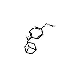 CC(C)Oc1ccc(CN2C3CC2CN(C)C3)cn1